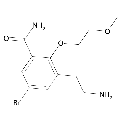 COCCOc1c(CCN)cc(Br)cc1C(N)=O